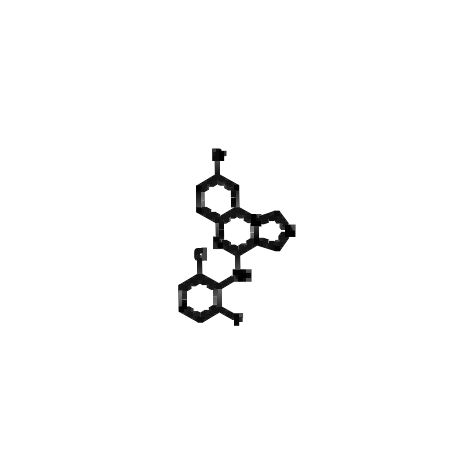 Fc1cccc(Cl)c1Nc1nc2ccc(Br)cc2n2cncc12